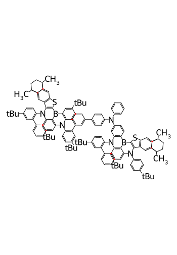 CC(C)(C)c1ccc(N2c3cc(C(C)(C)C)cc4c3B(c3ccc(N(c5ccccc5)c5ccc(-c6cccc(-c7cc(C(C)(C)C)ccc7N7c8ccc(C(C)(C)C)cc8B8c9sc%10cc%11c(cc%10c9N(c9ccc(C(C)(C)C)cc9-c9ccccc9)c9cc(C(C)(C)C)cc7c98)C7(C)CCC%11(C)CC7)c6)cc5)cc3N4c3ccc(C(C)(C)C)cc3-c3ccccc3)c3sc4cc5c(cc4c32)C2(C)CCC5(C)CC2)cc1